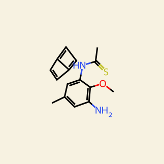 COc1c(N)cc(C)cc1NC(C)=S.c1cc2ccc1-2